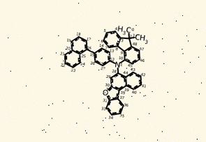 CC1(C)c2ccccc2-c2c(N(c3ccc(-c4cccc5ccccc45)cc3)c3cc4oc5ccccc5c4c4ccccc34)cccc21